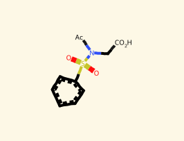 CC(=O)N(CC(=O)O)S(=O)(=O)c1ccccc1